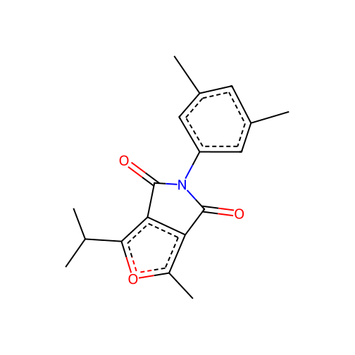 Cc1cc(C)cc(N2C(=O)c3c(C)oc(C(C)C)c3C2=O)c1